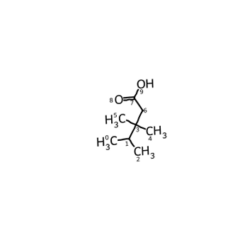 CC(C)C(C)(C)CC(=O)O